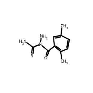 Cc1ccc(C)c(C(=O)N(N)C(N)=S)c1